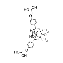 CC(C)(CC(O)c1ccc(OCC(O)O)cc1)C(=O)C(C)(C)CC(O)c1ccc(OCC(O)O)cc1